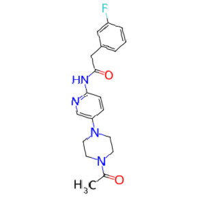 CC(=O)N1CCN(c2ccc(NC(=O)Cc3cccc(F)c3)nc2)CC1